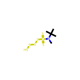 CN(C(C)(C)C)S(=S)(=S)SSSS